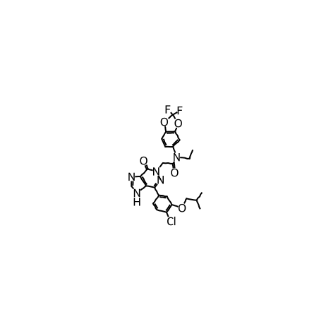 CCN(C(=O)Cn1nc(-c2ccc(Cl)c(OCC(C)C)c2)c2[nH]cnc2c1=O)c1ccc2c(c1)OC(F)(F)O2